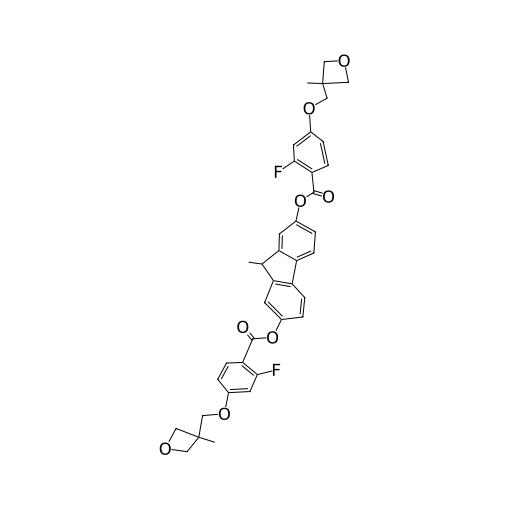 CC1c2cc(OC(=O)c3ccc(OCC4(C)COC4)cc3F)ccc2-c2ccc(OC(=O)c3ccc(OCC4(C)COC4)cc3F)cc21